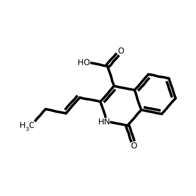 CCC=Cc1[nH]c(=O)c2ccccc2c1C(=O)O